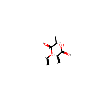 C=CC(=O)O.C=COC(=O)CC